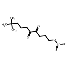 CC(C)(C)CCCC(=O)C(=O)CCCO[N+](=O)[O-]